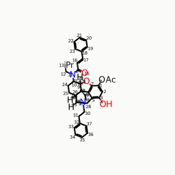 CC(=O)Oc1cc(O)c2c3c1O[C@H]1[C@H](N(CC(C)C)C(=O)C=Cc4ccccc4)CC[C@H]4[C@@H](C2)N(CCc2ccccc2)CC[C@@]341